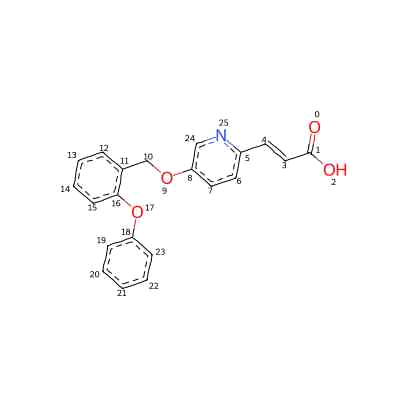 O=C(O)C=Cc1ccc(OCc2ccccc2Oc2ccccc2)cn1